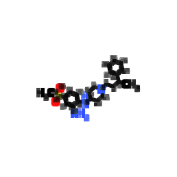 CC(CCN1CCC(Nc2ccc(S(C)(=O)=O)cc2N)CC1)c1ccccc1